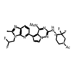 CNc1nc(N[C@@H]2CCN(C(C)=O)CC2(F)F)nn2ccc(-c3ccc4nc(C)n(CC(F)F)c4n3)c12